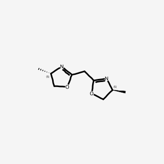 C[C@H]1COC(CC2=N[C@@H](C)CO2)=N1